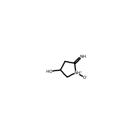 N=C1CC(O)C[NH+]1[O-]